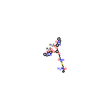 COc1cc2c(cc1OCc1cc(COc3cc4c(cc3OC)C(=O)N3c5ccccc5CC3C=N4)cc(OCCCCC(=O)NCCSSCCC(N)C(=O)C3C=CC3)c1)N=CC1Cc3ccccc3N1C2=O